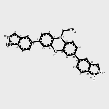 FC(F)(F)CN1c2ccc(-c3ccc4[nH]ncc4c3)cc2Oc2cc(-c3ccc4[nH]ncc4c3)ccc21